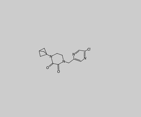 O=C1C(=O)N(C23CC(C2)C3)CCN1Cc1cnc(Cl)cn1